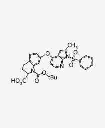 Cc1cc2c(Oc3ccc4c(c3)N(C(=O)OC(C)(C)C)C(C(=O)O)CC4)ccnc2n1S(=O)(=O)c1ccccc1